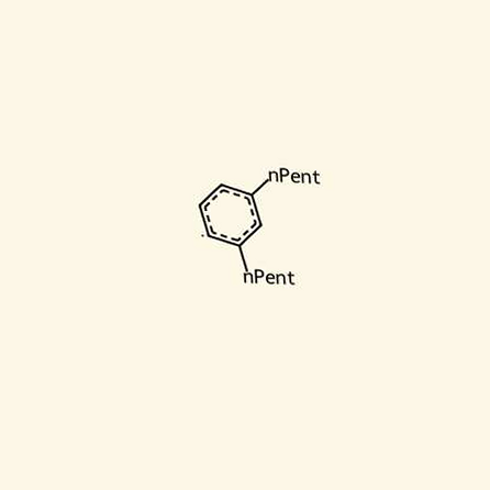 CCCCCc1[c]ccc(CCCCC)c1